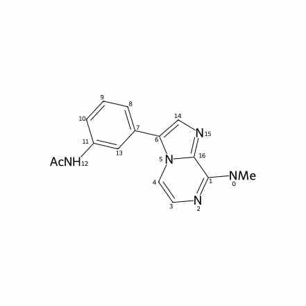 CNc1nccn2c(-c3cccc(NC(C)=O)c3)cnc12